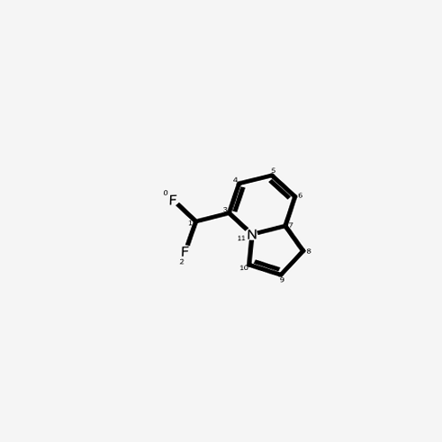 FC(F)C1=CC=CC2CC=CN12